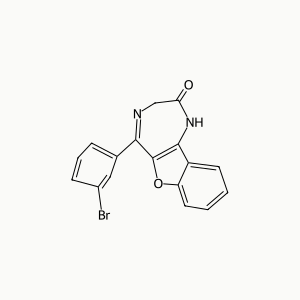 O=C1CN=C(c2cccc(Br)c2)c2oc3ccccc3c2N1